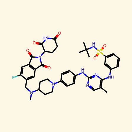 Cc1cnc(Nc2ccc(N3CCC(N(C)Cc4cc5c(cc4F)C(=O)N(C4CCC(=O)NC4=O)C5=O)CC3)cc2)nc1Nc1cccc(S(=O)(=O)NC(C)(C)C)c1